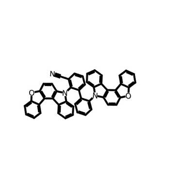 N#Cc1cccc(-c2ccccc2-n2c3ccccc3c3c4c(ccc32)oc2ccccc24)c1-n1c2ccccc2c2c3c(ccc21)oc1ccccc13